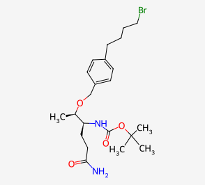 C[C@@H](OCc1ccc(CCCCBr)cc1)[C@H](CCC(N)=O)NC(=O)OC(C)(C)C